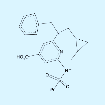 CC1CC1CN(Cc1ccccc1)c1cc(C(=O)O)cc(N(C)S(=O)(=O)C(C)C)n1